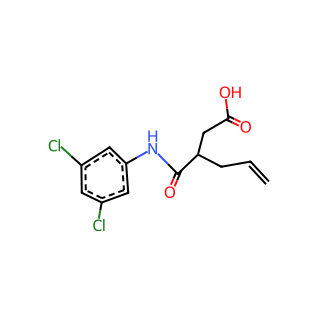 C=CCC(CC(=O)O)C(=O)Nc1cc(Cl)cc(Cl)c1